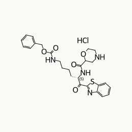 Cl.O=C(NCCCC[C@H](NC(=O)C1CNCCO1)C(=O)c1nc2ccccc2s1)OCc1ccccc1